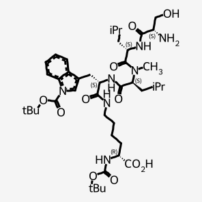 CC(C)C[C@H](NC(=O)[C@@H](N)CO)C(=O)N(C)[C@@H](CC(C)C)C(=O)N[C@@H](Cc1cn(C(=O)OC(C)(C)C)c2ccccc12)C(=O)NCCCC[C@@H](NC(=O)OC(C)(C)C)C(=O)O